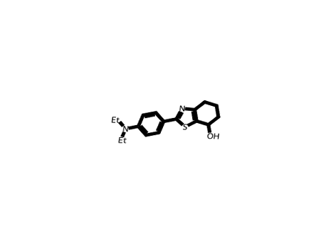 CCN(CC)c1ccc(-c2nc3c(s2)C(O)CCC3)cc1